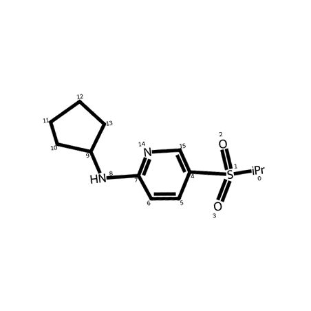 CC(C)S(=O)(=O)c1ccc(NC2CCCC2)nc1